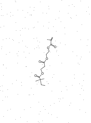 C=C(C)C(=O)OCCOC(=O)CCOC(=O)C(C)(C)CC